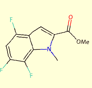 COC(=O)c1cc2c(F)cc(F)c(F)c2n1C